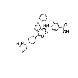 NC(CF)[C@H]1CC[C@H](C(=O)N2CC[C@H](c3ccccc3)[C@H]2C(=O)Nc2ccc(C(=O)O)cn2)CC1